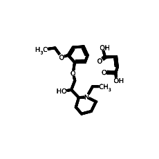 CCOc1ccccc1OCC(O)C1CCCCN1CC.O=C(O)/C=C\C(=O)O